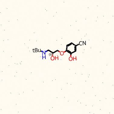 CC(C)(C)NC[C@H](O)COc1ccc(C#N)cc1O